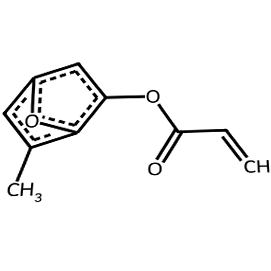 C=CC(=O)Oc1cc2cc(C)c1o2